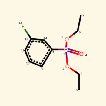 CCOP(=O)(OCC)c1cccc(F)c1